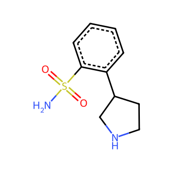 NS(=O)(=O)c1ccccc1C1CCNC1